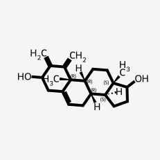 C=C1C(=C)[C@@]2(C)C(=CC[C@@H]3[C@H]2CC[C@]2(C)C(O)CC[C@@H]32)CC1O